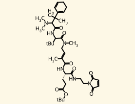 C/C(=C\CN(C)C(=O)C(NC(=O)C(N(C)C)C(C)(C)C1=CCCC=C1)C(C)(C)C)C(=O)N[C@@H](CCC(=O)OC(C)(C)C)C(=O)NCCN1C(=O)C=CC1=O